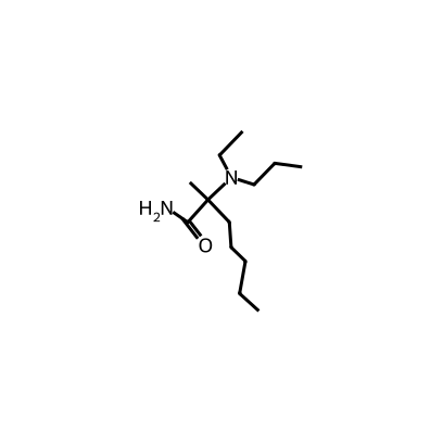 CCCCCC(C)(C(N)=O)N(CC)CCC